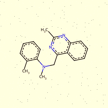 Cc1nc(CN(C)c2ccccc2C)c2ccccc2n1